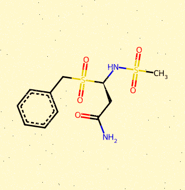 CS(=O)(=O)N[C@@H](CC(N)=O)S(=O)(=O)Cc1ccccc1